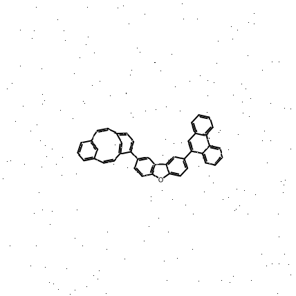 c1cc2ccc3ccc(-c4ccc5oc6ccc(-c7cc8ccccc8c8ccccc78)cc6c5c4)c(ccc(c1)c2)c3